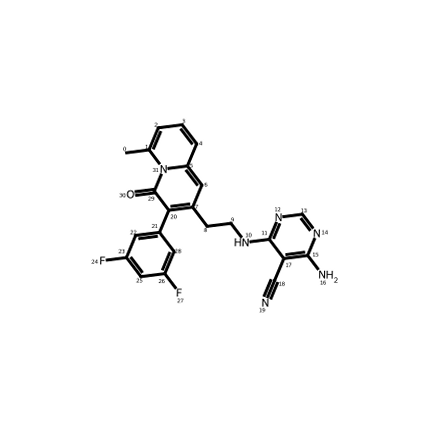 Cc1cccc2cc(CCNc3ncnc(N)c3C#N)c(-c3cc(F)cc(F)c3)c(=O)n12